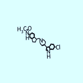 CC(=O)Nc1ccc2c(c1)CCC2CN1CC=C(c2c[nH]c3cc(Cl)ccc23)CC1